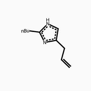 C=CCc1c[nH]c(CCCC)n1